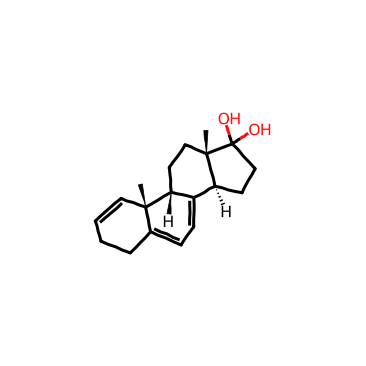 C[C@]12C=CCCC1=CC=C1[C@H]2CC[C@@]2(C)[C@H]1CCC2(O)O